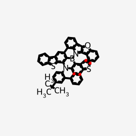 CC(C)(C)c1ccc(N2c3ccc4sc5ccccc5c4c3B3c4c(cc5c(sc6ccccc65)c42)-c2cccc4c5oc6ccccc6c5n3c24)c(-c2ccccc2)c1